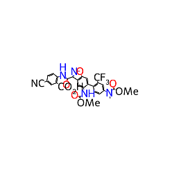 COC(=O)Nc1cc2c(C(=O)Nc3ccc(C#N)cc3C(=O)O)noc2cc1-c1ccc(N(C)C(=O)OC)cc1C(F)(F)F